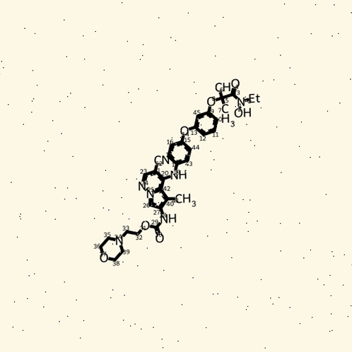 CCN(O)C(=O)C(C)(C)Oc1cccc(Oc2ccc(Nc3c(C#N)cnn4cc(NC(=O)OCCN5CCOCC5)c(C)c34)cc2)c1